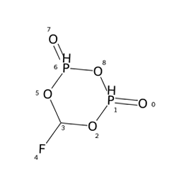 O=[PH]1OC(F)O[PH](=O)O1